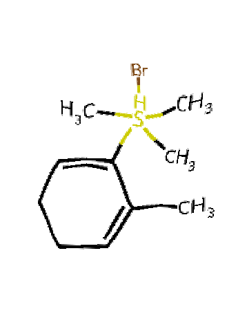 CC1=CCCC=C1[SH](C)(C)(C)Br